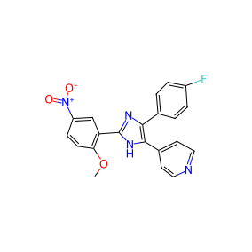 COc1ccc([N+](=O)[O-])cc1-c1nc(-c2ccc(F)cc2)c(-c2ccncc2)[nH]1